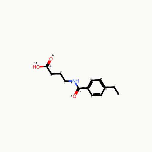 CCc1ccc(C(=O)NCCCC(=O)O)cc1